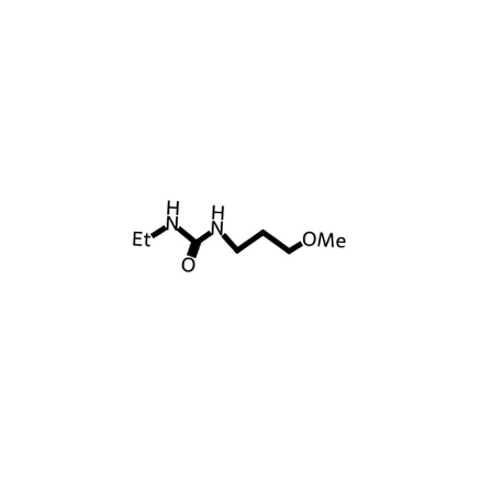 CCNC(=O)NCCCOC